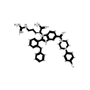 N=C(N)NCCC[C@@H](C(N)=O)n1c(-c2ccccc2Cc2ccccc2)nc2cc(C(=O)N3CCN(c4ccc(F)cc4)CC3)ccc21